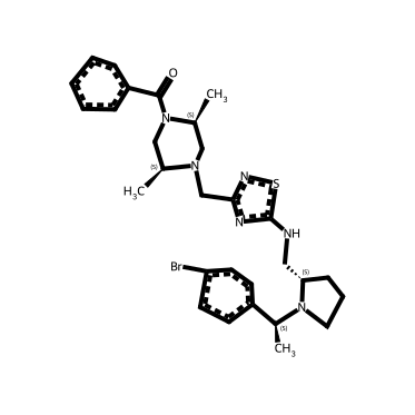 C[C@H]1CN(C(=O)c2ccccc2)[C@@H](C)CN1Cc1nsc(NC[C@@H]2CCCN2[C@@H](C)c2ccc(Br)cc2)n1